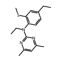 CCc1ccc(N(CC)c2nc(C)cc(C)n2)c(SC)c1